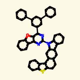 c1ccc(-c2cc(-c3ccccc3)cc(-c3nc(-n4c5ccccc5c5cc6ccc7sc8ccccc8c7c6cc54)nc4c3oc3ccccc34)c2)cc1